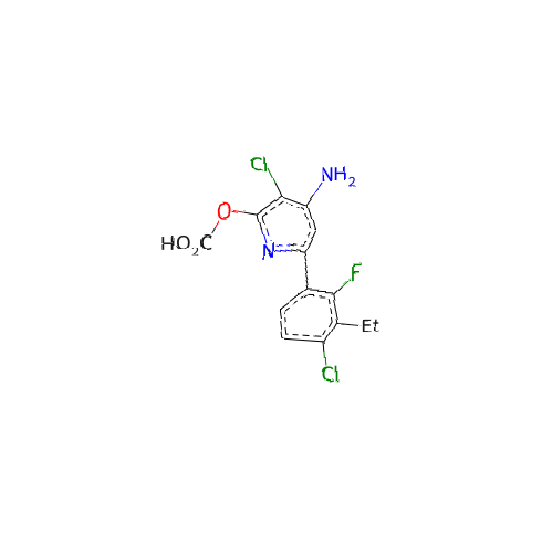 CCc1c(Cl)ccc(-c2cc(N)c(Cl)c(OC(=O)O)n2)c1F